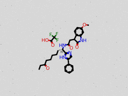 CCC(=O)CCCCC[C@H](NC(=O)CC1C(=O)Nc2cc(OC)ccc21)c1ncc(-c2ccccc2)[nH]1.O=C(O)C(F)(F)F